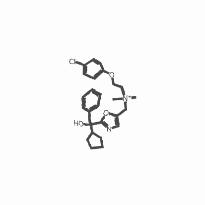 C[N+](C)(CCOc1ccc(Cl)cc1)Cc1cnc(C(O)(c2ccccc2)C2CCCC2)o1